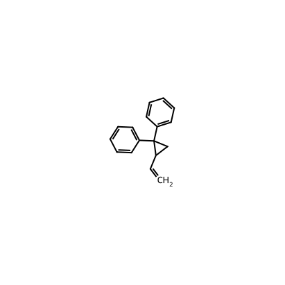 C=CC1CC1(c1ccccc1)c1ccccc1